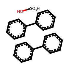 O=S(=O)(O)O.c1ccc(-c2ccccc2)cc1.c1ccc(-c2ccccc2)cc1